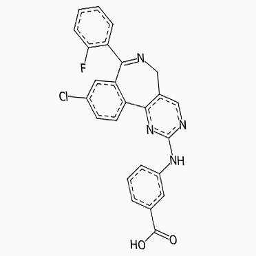 O=C(O)c1cccc(Nc2ncc3c(n2)-c2ccc(Cl)cc2C(c2ccccc2F)=NC3)c1